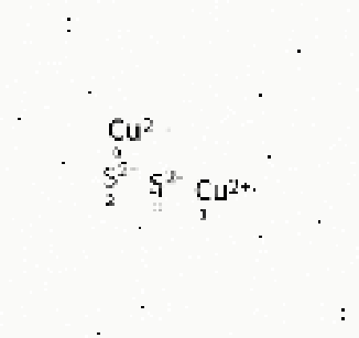 [Cu+2].[Cu+2].[S-2].[S-2]